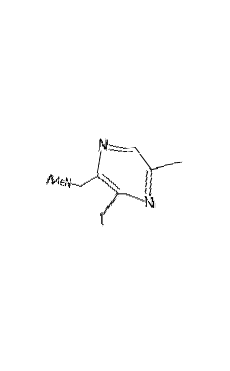 CNc1ncc(C)nc1I